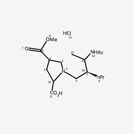 CCC[C@@H](CN1CC(C(=O)OC)CC1C(=O)O)C(C)NC(C)=O.Cl